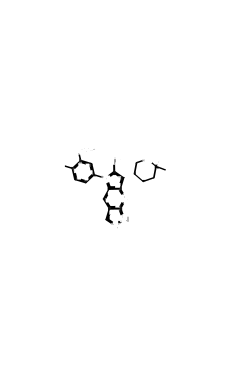 COc1cc(-n2c(C(C)C)c([C@H]3CC[C@](C)(C(=O)O)OC3)c3nc4[nH]ncc4cc32)ccc1F